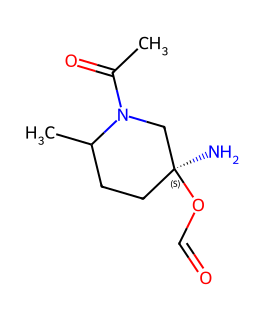 CC(=O)N1C[C@@](N)(OC=O)CCC1C